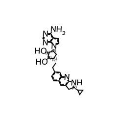 Nc1ncnc2c1ccn2[C@@H]1C[C@H](CCc2ccc3cc4c(nc3c2)N[C@@H](C2CC2)C4)[C@@H](O)[C@H]1O